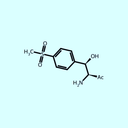 CC(=O)[C@@H](N)[C@H](O)c1ccc(S(C)(=O)=O)cc1